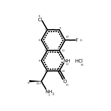 C[C@H](N)c1cc2cc(Cl)cc(F)c2[nH]c1=O.Cl